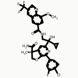 COc1cc(C(=O)NCC(O)(c2cc3c(c(-c4ccc(Cl)c(F)c4)n2)OC[C@]3(C)C(N)=O)C2CC2)cc2cc(C(F)(F)F)cnc12